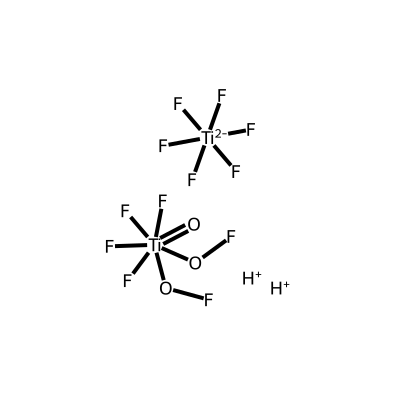 [F][Ti-2]([F])([F])([F])([F])[F].[H+].[H+].[O]=[Ti]([F])([F])([F])([F])([O]F)[O]F